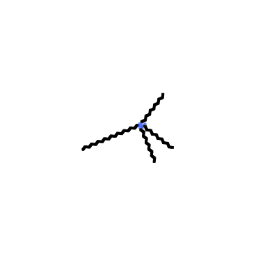 CCCCCCCCCCCCCCCCCC[N+](CCCCCCCCCCC)(CCCCCCCCCCC)CCCCCCCCCCC